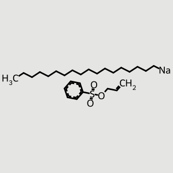 C=CCOS(=O)(=O)c1ccccc1.CCCCCCCCCCCCCCCCC[CH2][Na]